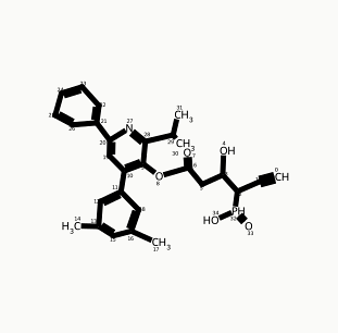 C#CC(C(O)CC(=O)Oc1c(-c2cc(C)cc(C)c2)cc(-c2ccccc2)nc1C(C)C)[PH](=O)O